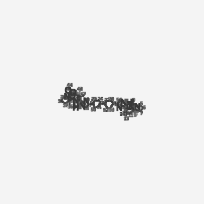 C=C(OC)N1CCC[C@@]1(C)C1=CC(C)(C)[C@@H](c2nc(-c3ccc(-c4ccc(-c5c[nH]c(C(NC(=O)[C@]6(C)CCCN6C(=O)OC)C(C)(C)C)n5)cc4)cc3)c[nH]2)N1